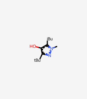 CCC(C)c1c(O)c(C(C)(C)C)nn1C